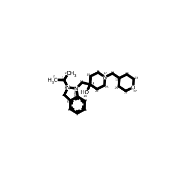 CC(C)N1Cc2ccccc2N1CC1(O)CCN(CC2CCOCC2)CC1